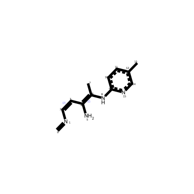 C=N/C=C\C(N)=C(/C)Nc1ccc(C)cn1